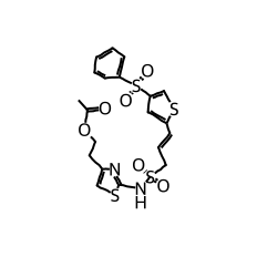 CC(=O)OCCc1csc(NS(=O)(=O)CC=Cc2cc(S(=O)(=O)c3ccccc3)cs2)n1